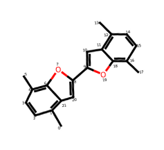 Cc1ccc(C)c2oc(-c3cc4c(C)ccc(C)c4o3)cc12